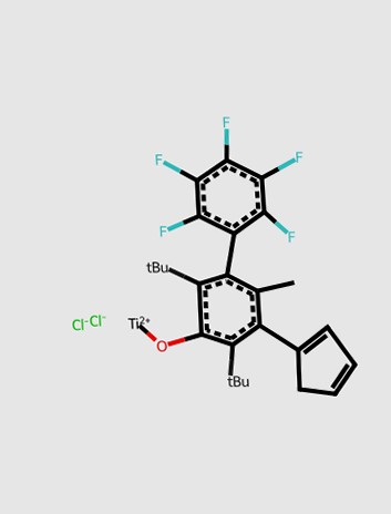 Cc1c(C2=CC=CC2)c(C(C)(C)C)c([O][Ti+2])c(C(C)(C)C)c1-c1c(F)c(F)c(F)c(F)c1F.[Cl-].[Cl-]